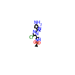 Cn1nc2cc(N)ccc2c1-c1ncc(Cl)c(-c2cnn(S(=O)(=O)C3CC3)c2)n1